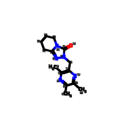 Cc1nc(C)c(Cn2nc3n(c2=O)CCCC3)nc1C